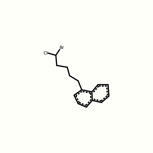 ClC(Br)CCCCc1cccc2ccccc12